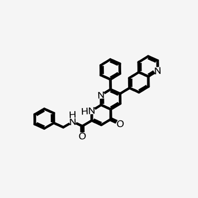 O=C(NCc1ccccc1)c1cc(=O)c2cc(-c3ccc4ncccc4c3)c(-c3ccccc3)nc2[nH]1